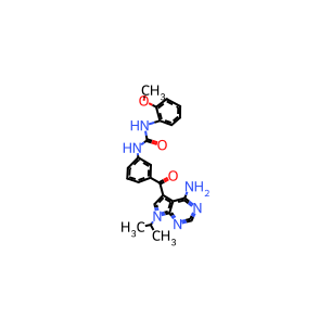 COc1ccccc1NC(=O)Nc1cccc(C(=O)c2cn(C(C)C)c3ncnc(N)c23)c1